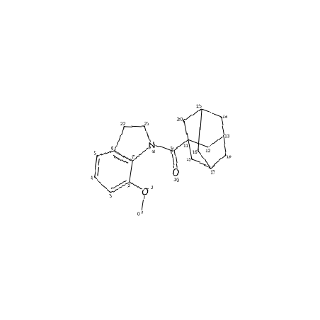 COc1cccc2c1N(C(=O)C13CC4CC(CC(C4)C1)C3)CC2